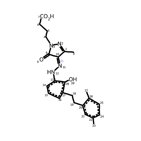 CC1=NN(CCCC(=O)O)C(=O)/C1=N\Nc1cccc(CCc2cc(C)ccc2C)c1O